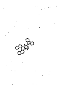 c1ccc2c(c1)ccc1c3nnc(-n4c5ccccc5c5ccccc54)nc3c3ccc4ccccc4c3c21